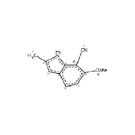 COc1ccc2cc(C)[nH]c2c1C#N